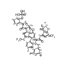 Cc1ccc(-c2ccc(Cl)c3c(N(C(=O)N(C)c4ccccc4OP(=O)(O)O)S(C)(=O)=O)nn(CC(F)(F)F)c23)c([C@H](Cc2cc(F)cc(F)c2)NC(=O)Cn2nc(C(F)(F)F)c3c2C(F)(F)[C@H](C)C3)n1